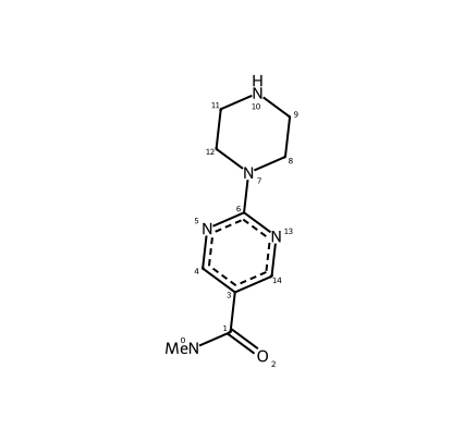 CNC(=O)c1cnc(N2CCNCC2)nc1